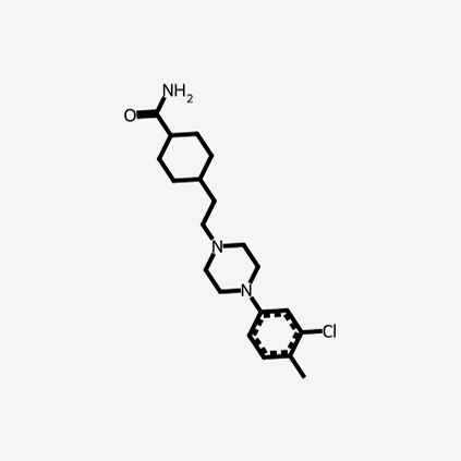 Cc1ccc(N2CCN(CCC3CCC(C(N)=O)CC3)CC2)cc1Cl